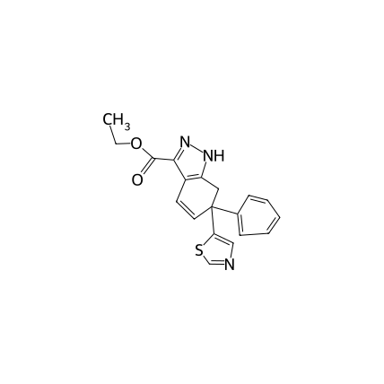 CCOC(=O)c1n[nH]c2c1C=CC(c1ccccc1)(c1cncs1)C2